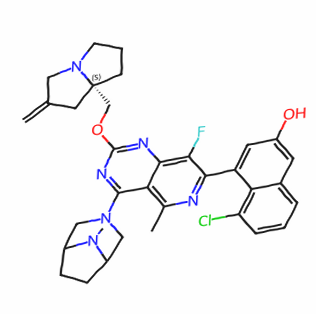 C=C1CN2CCC[C@@]2(COc2nc(N3CC4CCC(C3)N4C)c3c(C)nc(-c4cc(O)cc5cccc(Cl)c45)c(F)c3n2)C1